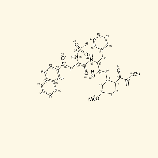 COC1CCC(C(=O)NC(C)(C)C)C(CC(O)C(Cc2ccccc2)NC(=O)C(C[S+]([O-])c2ccc3ccccc3c2)NS(C)(=O)=O)C1